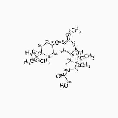 COc1ccc(C2CN(C(=O)CO)CC2(C)[C@H](C)O)cc1OC1CCC(C(C)(C)C)CC1